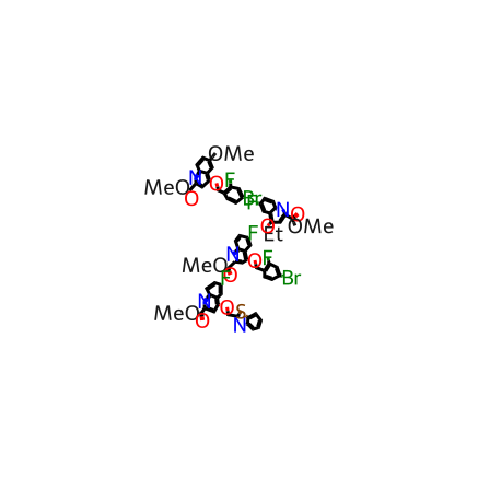 CCOc1cc(C(=O)OC)nc2ccc(F)cc12.COC(=O)c1cc(OCc2ccc(Br)cc2F)c2cc(F)ccc2n1.COC(=O)c1cc(OCc2ccc(Br)cc2F)c2cc(OC)ccc2n1.COC(=O)c1cc(OCc2nc3ccccc3s2)c2cc(F)ccc2n1